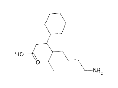 CCC(CCCCN)C(CC(=O)O)C1CCCCC1